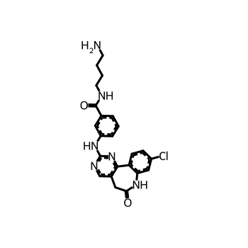 NCCCCNC(=O)c1cccc(Nc2ncc3c(n2)-c2ccc(Cl)cc2NC(=O)C3)c1